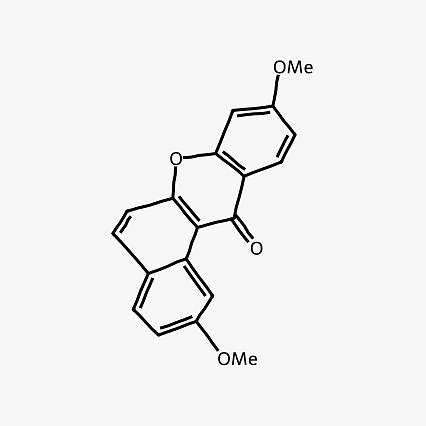 COc1ccc2c(=O)c3c(ccc4ccc(OC)cc43)oc2c1